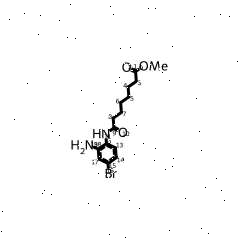 COC(=O)CCCCCCC(=O)Nc1ccc(Br)cc1N